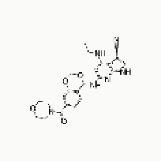 CCNc1cc(NC2OCOc3cc(C(=O)N4CCOCC4)ccc32)nc2[nH]cc(C#N)c12